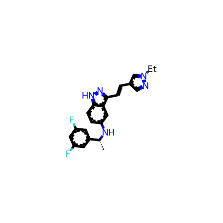 CCn1cc(/C=C/c2n[nH]c3ccc(N[C@H](C)c4cc(F)cc(F)c4)cc23)cn1